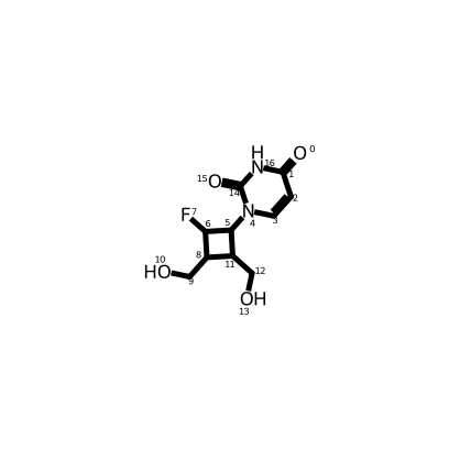 O=c1ccn(C2C(F)C(CO)C2CO)c(=O)[nH]1